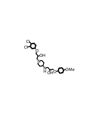 COc1ccc(OC[C@@H](O)CNC2CCN(C[C@H](O)COc3ccc(Cl)c(Cl)c3)CC2)cc1